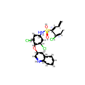 C=C/C=C(\C(Cl)=C/C)S(=O)(=O)Nc1cc(Cl)c(Oc2cnc3ccccc3c2)c(Cl)c1